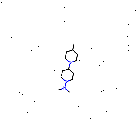 CC1CCN(C2CCN(N(C)C)CC2)CC1